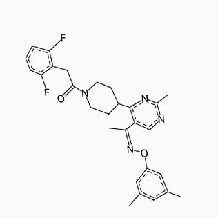 C/C(=N/Oc1cc(C)cc(C)c1)c1cnc(C)nc1C1CCN(C(=O)Cc2c(F)cccc2F)CC1